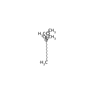 [CH2]CCCCCCCCCCCCCOOC(=O)c1c(C)cc(C)cc1C